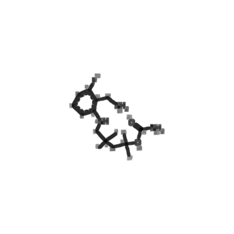 CC(C)(CNc1cccc(F)c1CN)CC(C)(C)OC(N)=O